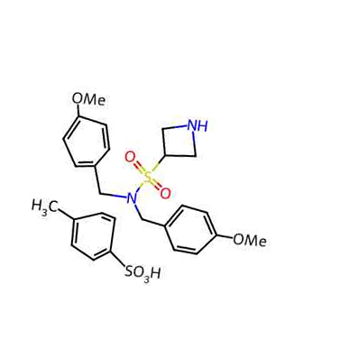 COc1ccc(CN(Cc2ccc(OC)cc2)S(=O)(=O)C2CNC2)cc1.Cc1ccc(S(=O)(=O)O)cc1